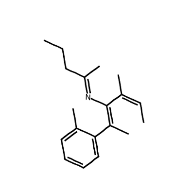 C/C=C(/C)C(/N=C(\C)CCC)=C(C)c1ccccc1C